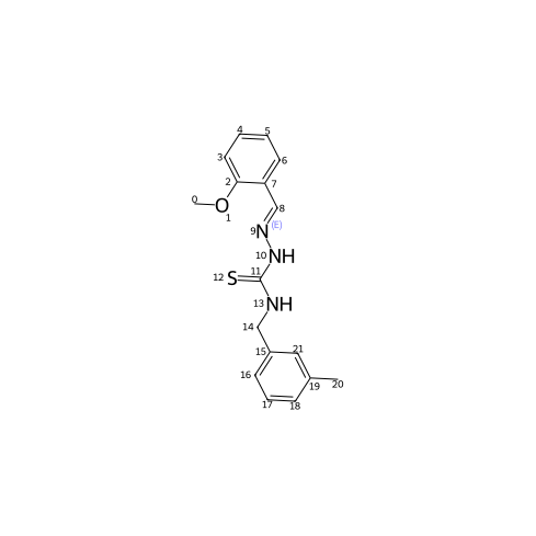 COc1ccccc1/C=N/NC(=S)NCc1cccc(C)c1